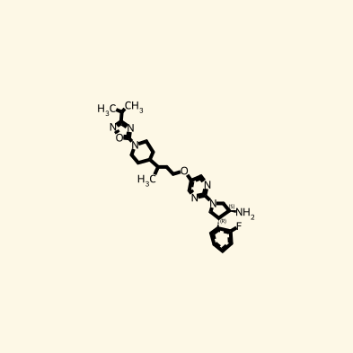 CC(C)c1noc(N2CCC(C(C)CCOc3cnc(N4C[C@@H](N)[C@H](c5ccccc5F)C4)nc3)CC2)n1